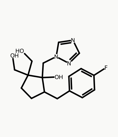 OCC1(CO)CCC(Cc2ccc(F)cc2)C1(O)Cn1cncn1